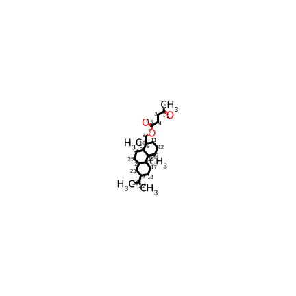 CC(=O)CCC(=O)OC[C@@]1(C)CCC[C@@]2(C)C3CCC(C(C)C)CC3CCC12